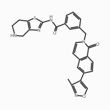 Cc1nocc1-c1ccc2c(=O)n(Cc3cccc(C(=O)Nc4nc5c(s4)CCNC5)c3)ccc2c1